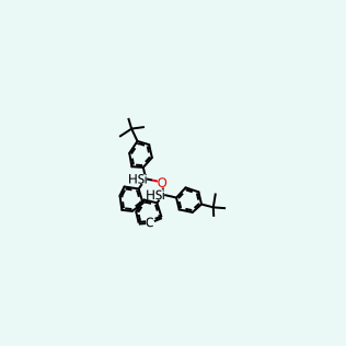 CC(C)(C)c1ccc([SiH](O[SiH](c2ccccc2)c2ccc(C(C)(C)C)cc2)c2ccccc2)cc1